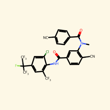 CN(C(=O)c1ccc(C#N)cc1)c1cc(C(=O)Nc2c(Cl)cc(C(F)(C(F)(F)F)C(F)(F)F)cc2C(F)(F)F)ccc1C#N